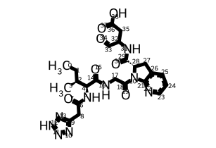 CC[C@H](C)[C@H](NC(=O)Cc1nn[nH]n1)C(=O)NCC(=O)N1c2ncccc2C[C@H]1C(=O)NC(C=O)CC(=O)O